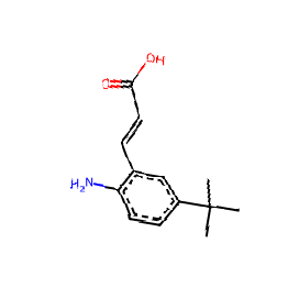 CC(C)(C)c1ccc(N)c(C=CC(=O)O)c1